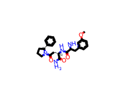 COc1cccc(CC(N)C(=O)N[C@@H](CC(=O)N2CCC[C@@H]2c2ccccc2)C(N)=O)c1